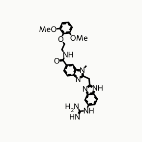 COc1cccc(OC)c1OCCNC(=O)c1ccc2nc(Cc3nc4cc(NC(=N)N)ccc4[nH]3)n(C)c2c1